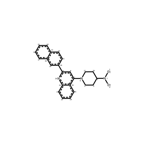 CCN(CC)C1CCN(c2cc(-c3ccc4ccccc4c3)nc3ccccc23)CC1